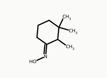 CC1C(=NO)CCCC1(C)C